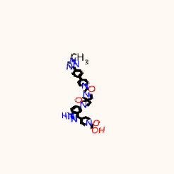 Cn1cnc(-c2ccc(C3=CCN(C(=O)CN4CCC5(CCN(c6ccc7[nH]nc(C8CCN(C(=O)CO)CC8)c7c6)C5=O)C4)CC3)cc2)n1